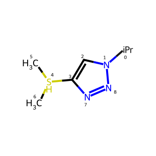 CC(C)n1cc([SH](C)C)nn1